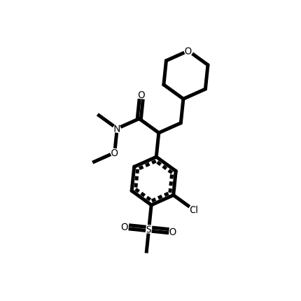 CON(C)C(=O)C(CC1CCOCC1)c1ccc(S(C)(=O)=O)c(Cl)c1